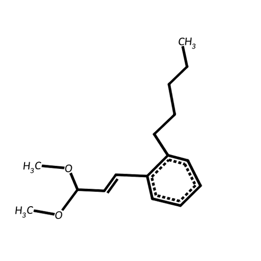 CCCCCc1ccccc1/C=C/C(OC)OC